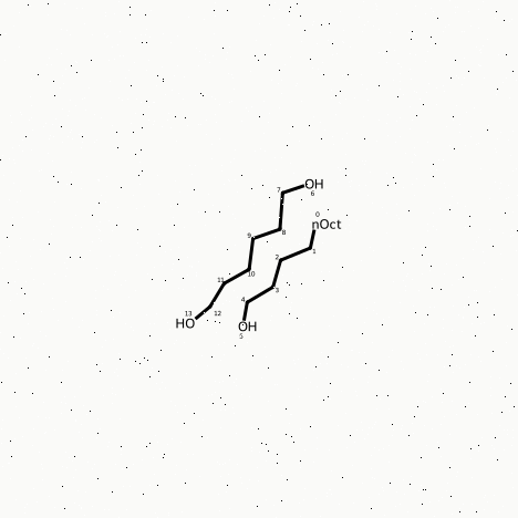 CCCCCCCCCCCCO.OCCCCCCO